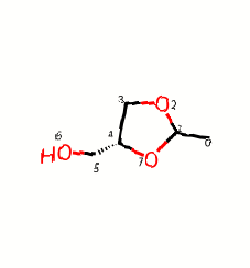 CC1OC[C@@H](CO)O1